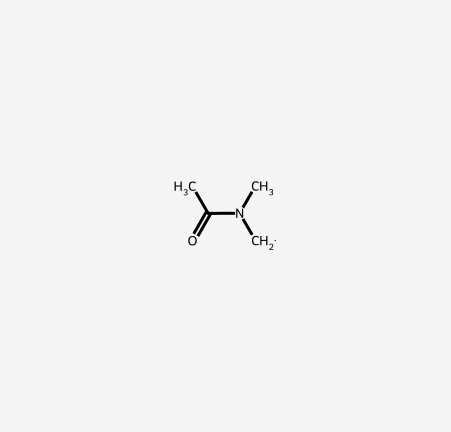 [CH2]N(C)C(C)=O